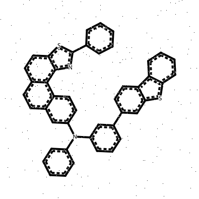 c1ccc(-c2nc3c(ccc4ccc5cc(N(c6ccccc6)c6cccc(-c7ccc8c(c7)sc7ccccc78)c6)ccc5c43)s2)cc1